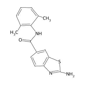 Cc1cccc(C)c1NC(=O)c1ccc2nc(N)sc2c1